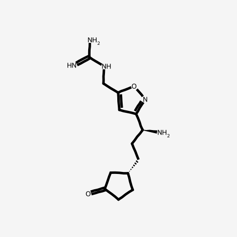 N=C(N)NCc1cc([C@@H](N)CC[C@@H]2CCC(=O)C2)no1